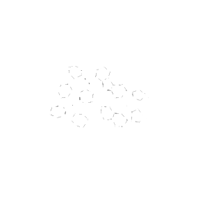 c1ccc(N(c2ccc3c(c2)C(c2ccccc2)(c2ccccc2)c2ccccc2-3)c2cccc3c2oc2c4c(ccc23)C2(c3ccsc3-c3sccc32)c2ccc3c5c(ccc-4c25)CC3)cc1